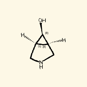 O[C@H]1[C@H]2CNC[C@@H]12